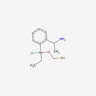 C[CH2][Sn]([Cl])([O]CS)[c]1ccccc1C(C)N